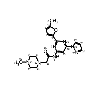 Cc1ccc(-c2nc(NC(=O)CN3CCN(C)CC3)cc(-n3cccn3)n2)o1